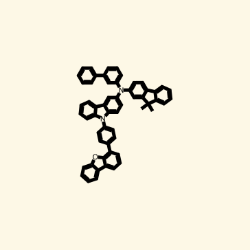 CC1(C)c2ccccc2-c2ccc(N(c3cccc(-c4ccccc4)c3)c3ccc4c(c3)c3ccccc3n4-c3ccc(-c4cccc5c4oc4ccccc45)cc3)cc21